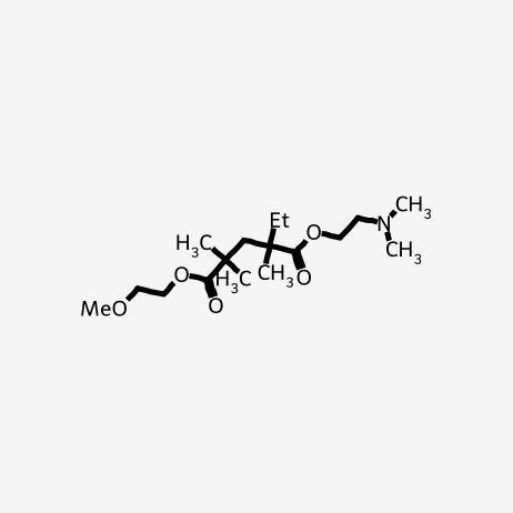 CCC(C)(CC(C)(C)C(=O)OCCOC)C(=O)OCCN(C)C